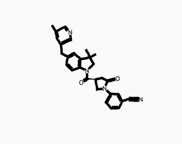 Cc1cncc(Cc2ccc3c(c2)C(C)(C)CN3C(=O)[C@H]2CC(=O)N(c3cccc(C#N)c3)C2)c1